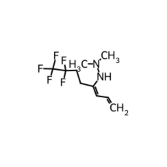 C=C/C=C(/CCC(F)(F)C(F)(F)F)NN(C)C